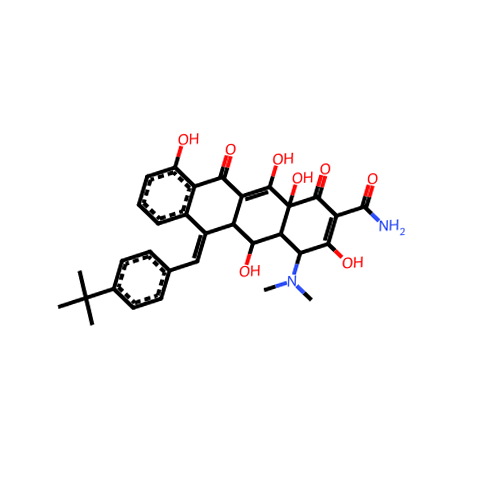 CN(C)C1C(O)=C(C(N)=O)C(=O)C2(O)C(O)=C3C(=O)c4c(O)cccc4/C(=C\c4ccc(C(C)(C)C)cc4)C3C(O)C12